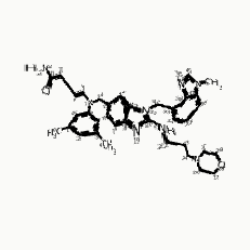 Cc1cc(C)cc(N(CCCC(N)=O)Cc2ccc3nc(NCCCN4CCOCC4)n(Cc4cccc5c4ncn5C)c3c2)c1